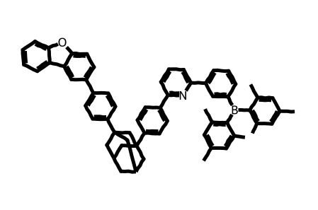 Cc1cc(C)c(B(c2cccc(-c3cccc(-c4ccc(C56CC7CC(CC(c8ccc(-c9ccc%10oc%11ccccc%11c%10c9)cc8)(C7)C5)C6)cc4)n3)c2)c2c(C)cc(C)cc2C)c(C)c1